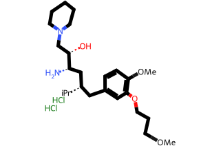 COCCCOc1cc(C[C@@H](C[C@H](N)[C@@H](O)CN2CCCCC2)C(C)C)ccc1OC.Cl.Cl